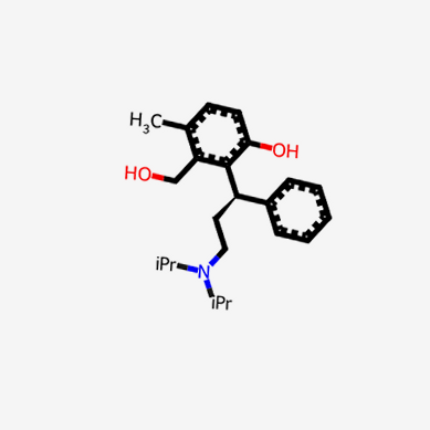 Cc1ccc(O)c([C@H](CCN(C(C)C)C(C)C)c2ccccc2)c1CO